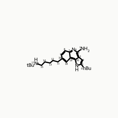 CCCCc1cc2c(N)nc3ccc(CCCCCNC(C)(C)C)cc3c2[nH]1